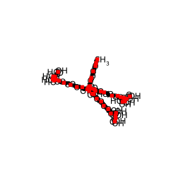 CCCCOCCOCCOCCOCCC(=O)CC(CCC(=O)CCCOCCOCCOCCOCCOC1OC(COP(=O)(O)O)C(O)C(O)C1O)(CCC(=O)NCCOCCOCCOCCOCCOC1OC(COP(=O)(O)O)C(O)C(O)C1O)CCC(=O)NCCOCCOCCOCCOCCOC1OC(COP(=O)(O)O)C(O)C(O)C1O